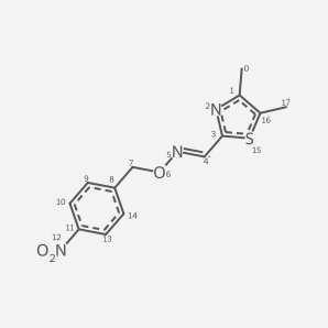 Cc1nc(/[C]=N/OCc2ccc([N+](=O)[O-])cc2)sc1C